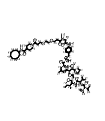 CC[C@H](C)[C@@H]([C@@H](CC(=O)N1CCC[C@H]1[C@H](OC)[C@@H](C)C(=O)N[C@@H](CC(C)C)C(=O)NOCc1ccc(NC(=O)[C@@H](C)NC(=O)CCOCCOCCC(=O)N2CCC(C(=O)NC3CCCCCCCC3)CC2)cc1)OC)N(C)C(=O)[C@@H](NC(=O)[C@H](C(C)C)N(C)C)C(C)C